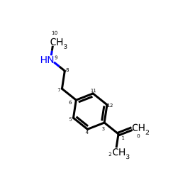 C=C(C)c1ccc(CCNC)cc1